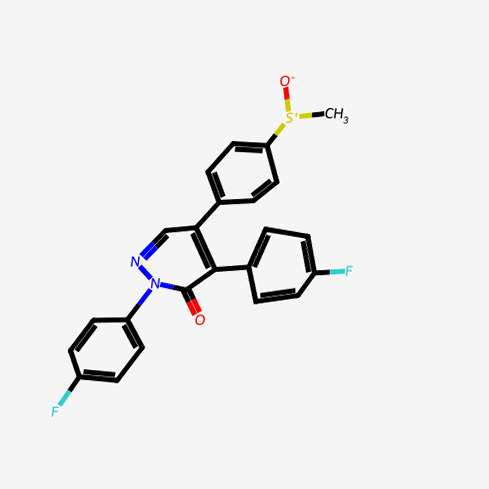 C[S+]([O-])c1ccc(-c2cnn(-c3ccc(F)cc3)c(=O)c2-c2ccc(F)cc2)cc1